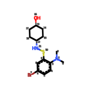 CN(C)c1ccc(Br)cc1SN[C@H]1CC[C@@H](O)CC1